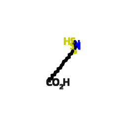 O=C(O)CCCCCCCCCCCCCCCCCSc1nnc(S)s1